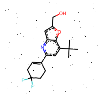 CC(C)(C)c1cc(C2=CCC(F)(F)CC2)nc2cc(CO)oc12